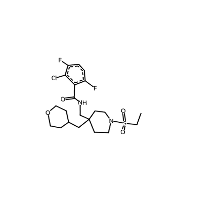 CCS(=O)(=O)N1CCC(CNC(=O)c2c(F)ccc(F)c2Cl)(CC2CCOCC2)CC1